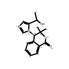 CC(O)c1cncn1[C@@H]1c2ccccc2C(=O)OC1(C)C